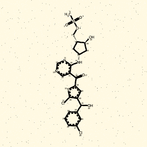 CS(=O)(=O)OC[C@H]1C[C@@H](Nc2ncncc2C(=O)c2cc(C(O)c3cccc(Cl)c3)c(Cl)s2)C[C@@H]1O